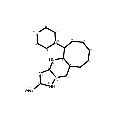 CSC1NC2NC3C(CCCCCC3N3CCOCC3)CN2N1